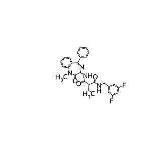 CCC(C(=O)NCc1cc(F)cc(F)c1)C(=O)NC1N=C(c2ccccc2)c2ccccc2N(C)C1=O